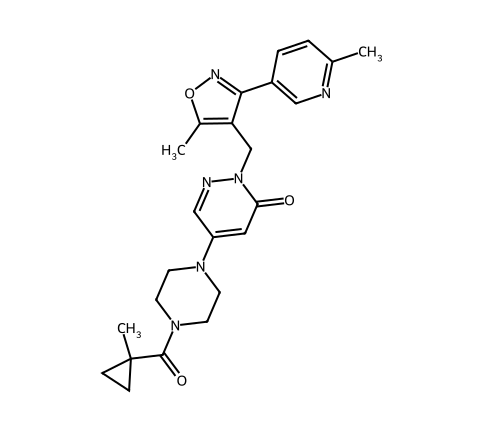 Cc1ccc(-c2noc(C)c2Cn2ncc(N3CCN(C(=O)C4(C)CC4)CC3)cc2=O)cn1